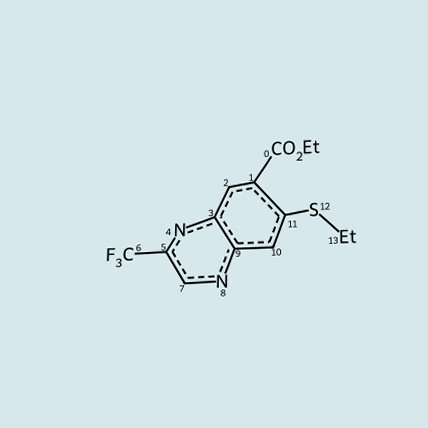 CCOC(=O)c1cc2nc(C(F)(F)F)cnc2cc1SCC